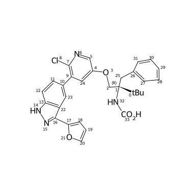 CC(C)(C)[C@@](COc1cnc(Cl)c(-c2ccc3[nH]nc(-c4ccco4)c3c2)c1)(Cc1ccccc1)NC(=O)O